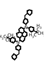 CC(C)(C)c1ccc(N(c2ccc(Cc3ccccc3)cc2)c2ccc3ccc4c(N(c5ccc(Cc6ccccc6)cc5)c5ccc(C(C)(C)C)cc5)ccc5ccc2c3c54)cc1